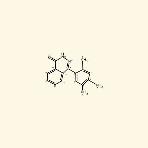 Cc1cc(N)c(N)cc1-c1n[nH]c(=O)c2ccccc12